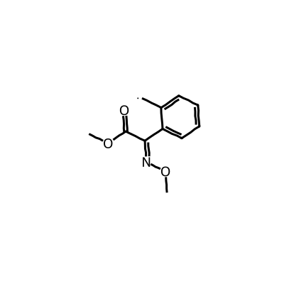 [CH2]c1ccccc1/C(=N\OC)C(=O)OC